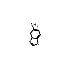 NC1=CC=C2SC=NC2C1